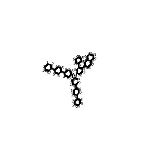 c1ccc(-c2ccc(-c3ccc(N(c4ccc(-c5ccc(-c6ccccc6)cc5)cc4)c4ccc(-c5ccc6ccccc6c5)c(-c5ccccc5)c4)cc3)cc2)cc1